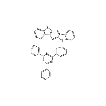 c1ccc(-c2nc(-c3ccccc3)nc(-c3cccc(-n4c5ccccc5c5cc6sc7ncncc7c6cc54)c3)n2)cc1